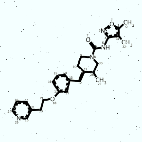 Cc1onc(NC(=O)N2CCC(=Cc3cccc(OCCc4cccnc4)c3)C(C)C2)c1C